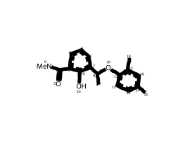 CNC(=O)c1cccc(C(C)Oc2ccc(C)cc2C)c1O